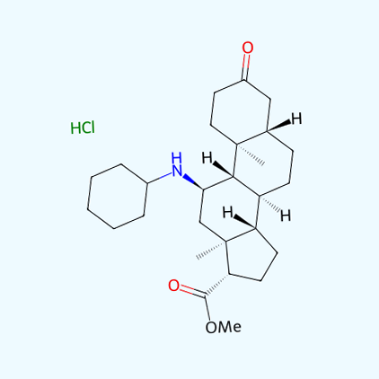 COC(=O)[C@H]1CC[C@H]2[C@@H]3CC[C@H]4CC(=O)CC[C@]4(C)[C@H]3[C@H](NC3CCCCC3)C[C@]12C.Cl